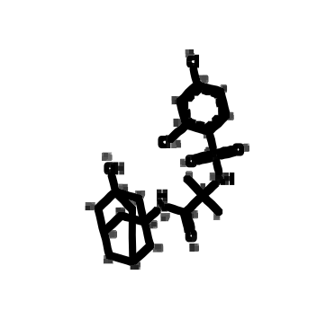 CC(C)(NS(=O)(=O)c1ccc(Cl)cc1Cl)C(=O)NC12CC3CC(CC(O)(C3)C1)C2